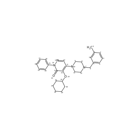 Cc1cccc(CN2CCN(c3cnn(-c4ccccc4)c(=O)c3OC3CCCCC3)CC2)c1